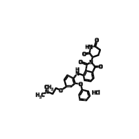 CN(C)CCOc1ccc(Nc2cccc3c2C(=O)N(C2CCC(=O)NC2=O)C3=O)c(Oc2ccccc2)c1.Cl